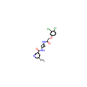 Cc1cncc(C(=O)NC23CC(NC(=O)COc4ccc(Cl)c(Cl)c4)(C2)C3)c1